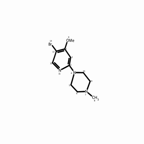 COc1cc(N2CCN(C)CC2)ncc1Br